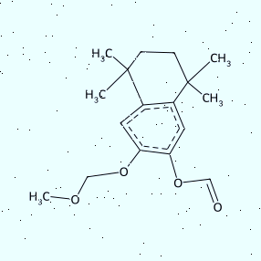 COCOc1cc2c(cc1OC=O)C(C)(C)CCC2(C)C